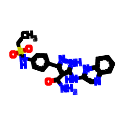 CCS(=O)(=O)Nc1ccc(-c2n[nH]c(Nc3cnc4ccccc4n3)c2C(N)=O)cc1